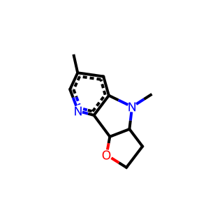 Cc1cnc2c(c1)N(C)C1CCOC21